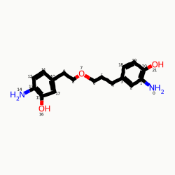 Nc1cc(CCCOCCc2ccc(N)c(O)c2)ccc1O